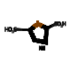 O=S(=O)(O)c1ccc(S(=O)(=O)O)s1.[KH]